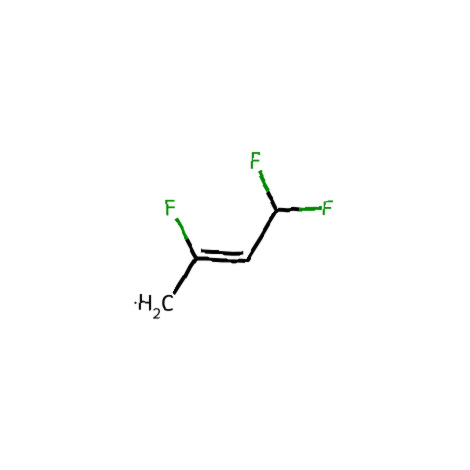 [CH2]C(F)=CC(F)F